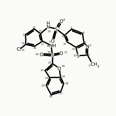 Cc1nc2ccc(S(=O)(=O)Nc3ccc(Cl)cc3NS(=O)(=O)c3cc4ccccc4o3)cc2s1